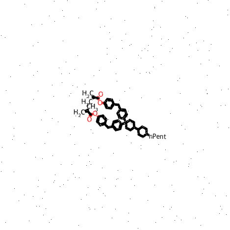 C=C(C)C(=O)Oc1ccc(Cc2ccc(C3(c4ccc(Cc5ccc(OC(=O)C(=C)C)cc5)cc4)CCC(C4CCC(CCCCC)CC4)CC3)cc2)cc1